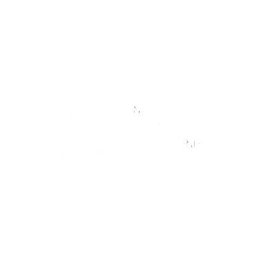 N=C=NC1=CC=CCC1